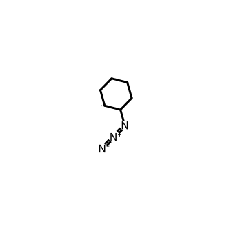 [N-]=[N+]=NC1[CH]CCCC1